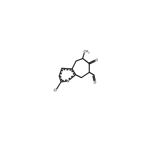 CC1Cc2ccc(Cl)nc2CC(C=O)C1=O